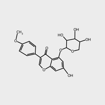 COc1ccc(-c2coc3cc(O)cc(OC4OCC(O)C(O)C4O)c3c2=O)cc1